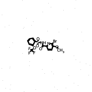 COc1ccc(C(=O)NS(=O)(=O)c2ccccc2OC(F)(F)F)nc1Br